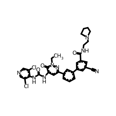 CCn1nc(-c2cccc(-c3cc(C#N)cc(C(=O)NCCN4CCCC4)c3)c2)cc(NC(=O)Nc2c(Cl)cncc2Cl)c1=O